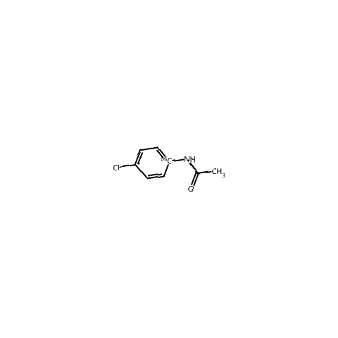 CC(=O)N[14c]1ccc(Cl)cc1